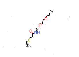 CC(C)CCOCCOCCNC(=O)CCSCC(C)(C)C